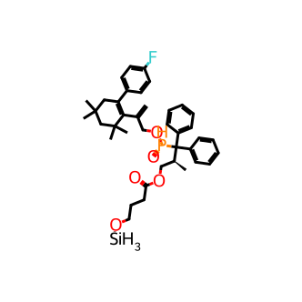 C=C(CO[PH](=O)C(c1ccccc1)(c1ccccc1)[C@@H](C)COC(=O)CCCO[SiH3])C1=C(c2ccc(F)cc2)CC(C)(C)CC1(C)C